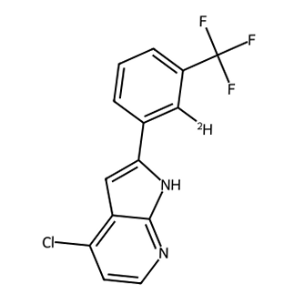 [2H]c1c(-c2cc3c(Cl)ccnc3[nH]2)cccc1C(F)(F)F